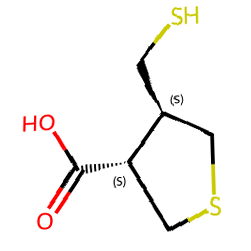 O=C(O)[C@H]1CSC[C@@H]1CS